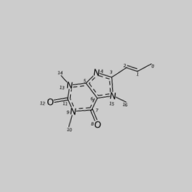 CC=Cc1nc2c(c(=O)n(C)c(=O)n2C)n1C